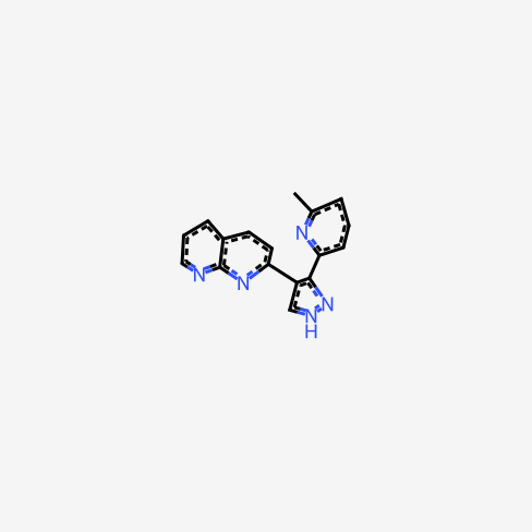 Cc1cccc(-c2n[nH]cc2-c2ccc3cccnc3n2)n1